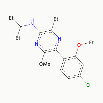 CCOc1cc(Cl)ccc1-c1nc(CC)c(NC(CC)CC)nc1OC